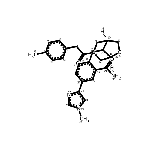 Cc1ccc(CC(=O)N2C[C@H]3CO[C@@H](C2)C3Oc2ccc(-c3cn(C)cn3)cc2C(N)=O)cc1